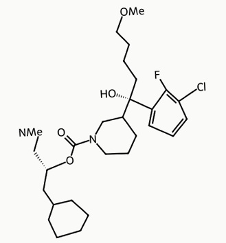 CNC[C@@H](CC1CCCCC1)OC(=O)N1CCCC([C@@](O)(CCCCOC)c2cccc(Cl)c2F)C1